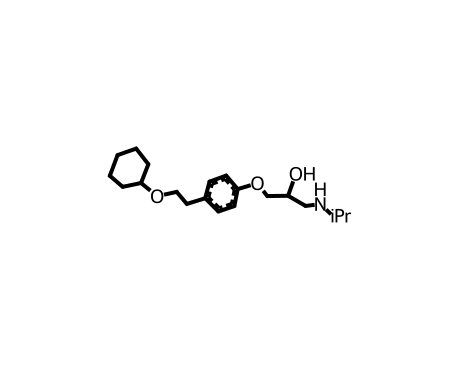 CC(C)NCC(O)COc1ccc(CCOC2CCCCC2)cc1